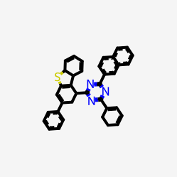 C1=CCCC(c2nc(-c3ccc4ccccc4c3)nc(C3CC(c4ccccc4)=CC4=C3C3C=CC=CC3S4)n2)=C1